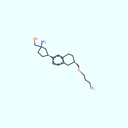 N[C@]1(CO)CC[C@H](c2ccc3c(c2)CC[C@@H](COCCCC(F)(F)F)C3)C1